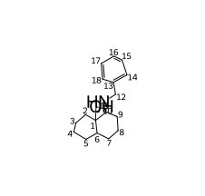 OC12CCCCC1CCC[C@@H]2NCc1ccccc1